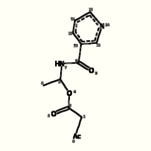 CC(=O)CC(=O)OC(C)NC(=O)c1cccnc1